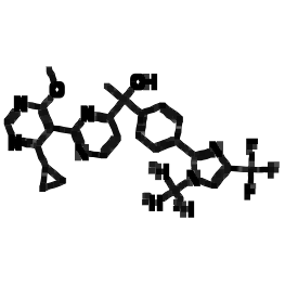 [2H]C([2H])([2H])n1cc(C(F)(F)F)nc1-c1ccc(C(C)(O)c2ccnc(-c3c(OC)ncnc3C3CC3)n2)cc1